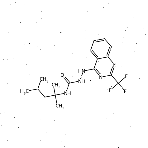 CC(C)CC(C)(C)NC(=O)NNc1nc(C(F)(F)F)nc2ccccc12